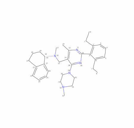 CCc1cccc(CC)c1-c1nc(C)c(CN(C)[C@H]2CCCc3ccccc32)c(N2CCN(C)CC2)n1